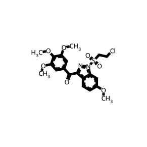 COc1ccc2c(C(=O)c3cc(OC)c(OC)c(OC)c3)nn(S(=O)(=O)CCCl)c2c1